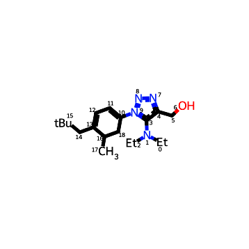 CCN(CC)c1c(CO)nnn1C1=CC=C(CC(C)(C)C)C(C)C1